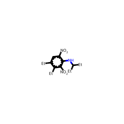 CCc1cc([N+](=O)[O-])c(NC(CC)CC)c([N+](=O)[O-])c1CC